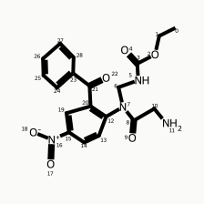 CCOC(=O)NCN(C(=O)CN)c1ccc([N+](=O)[O-])cc1C(=O)c1ccccc1